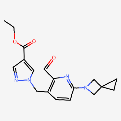 CCOC(=O)c1cnn(Cc2ccc(N3CC4(CC4)C3)nc2C=O)c1